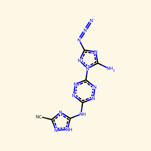 N#Cc1n[nH]c(Nc2nnc(-n3nc(N=[N+]=[N-])nc3N)nn2)n1